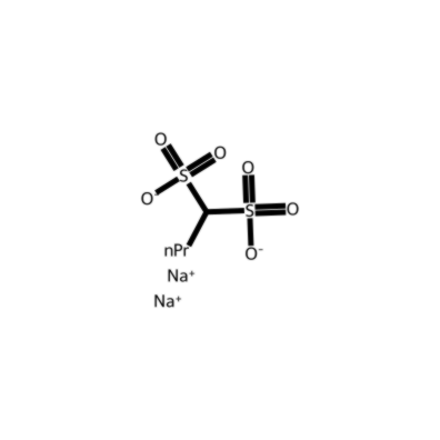 CCCC(S(=O)(=O)[O-])S(=O)(=O)[O-].[Na+].[Na+]